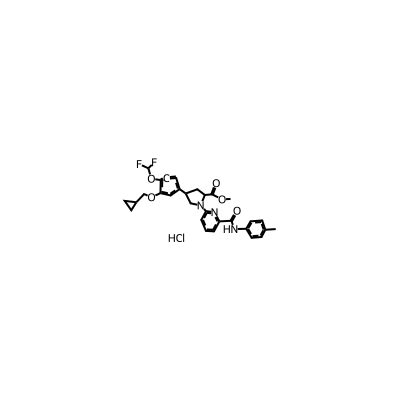 COC(=O)C1CC(c2ccc(OC(F)F)c(OCC3CC3)c2)CN1c1cccc(C(=O)Nc2ccc(C)cc2)n1.Cl